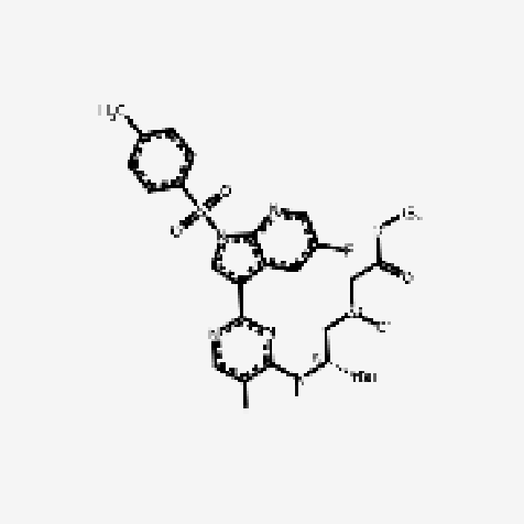 Cc1ccc(S(=O)(=O)n2cc(-c3ncc(F)c(N[C@H](C[S+]([O-])CC(=O)OC(C)(C)C)C(C)(C)C)n3)c3cc(F)cnc32)cc1